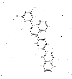 Fc1cc(F)cc(-c2ccc(-c3ccc(-c4ccc5ccccc5c4)cc3)c3ccccc23)c1